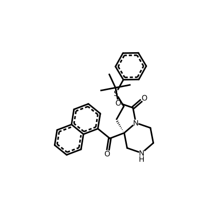 CC(C)(C)OC(=O)N1CCNC[C@@]1(CCSc1ccccc1)C(=O)c1cccc2ccccc12